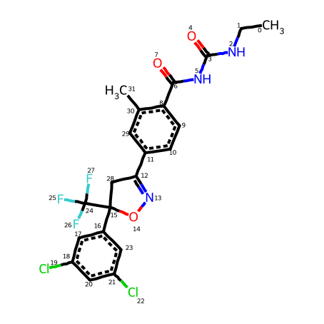 CCNC(=O)NC(=O)c1ccc(C2=NOC(c3cc(Cl)cc(Cl)c3)(C(F)(F)F)C2)cc1C